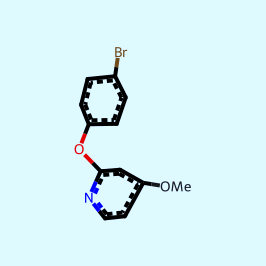 COc1ccnc(Oc2ccc(Br)cc2)c1